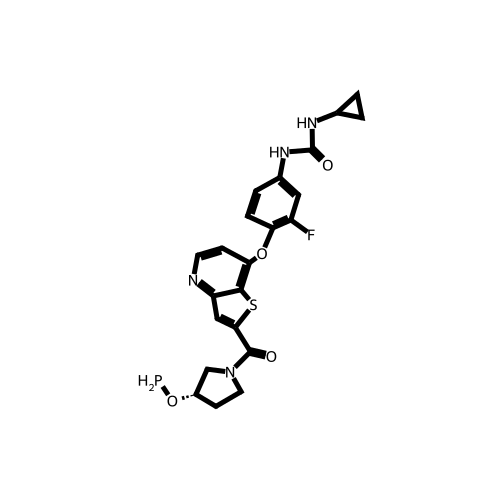 O=C(Nc1ccc(Oc2ccnc3cc(C(=O)N4CC[C@H](OP)C4)sc23)c(F)c1)NC1CC1